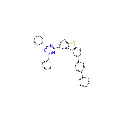 c1ccc(-c2ccc(-c3ccc4sc5ccc(-c6nc(-c7ccccc7)nc(-c7ccccc7)n6)cc5c4c3)cc2)cc1